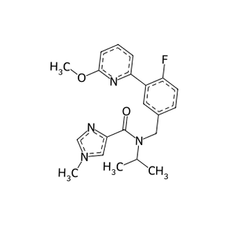 COc1cccc(-c2cc(CN(C(=O)c3cn(C)cn3)C(C)C)ccc2F)n1